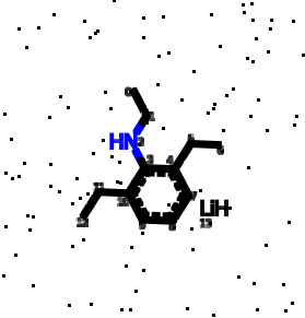 CCNc1c(CC)cccc1CC.[LiH]